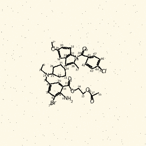 CCN(Cc1cc(Br)c(N)c(C(=O)OCCOC(C)=O)c1)C1CCCCC1.COc1ccc2c(c1)cc(C)n2C(=O)c1ccc(Cl)cc1